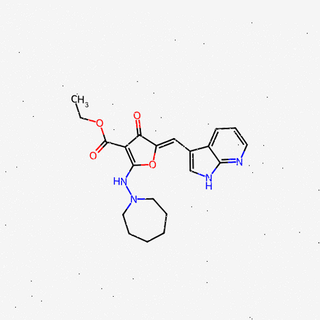 CCOC(=O)C1=C(NN2CCCCCC2)O/C(=C\c2c[nH]c3ncccc23)C1=O